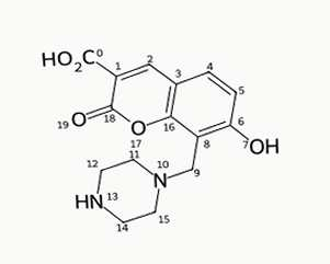 O=C(O)c1cc2ccc(O)c(CN3CCNCC3)c2oc1=O